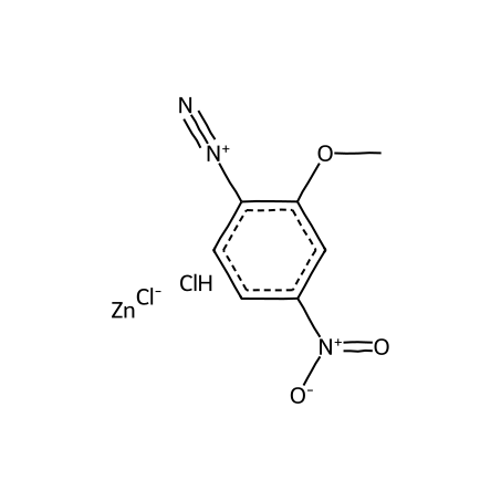 COc1cc([N+](=O)[O-])ccc1[N+]#N.Cl.[Cl-].[Zn]